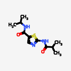 CC(C)NC(=O)c1cnc(NC(=O)C(C)C)s1